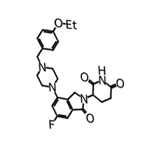 CCOc1ccc(CN2CCN(c3cc(F)cc4c3CN(C3CCC(=O)NC3=O)C4=O)CC2)cc1